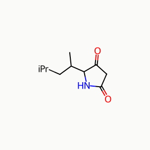 CC(C)CC(C)C1NC(=O)CC1=O